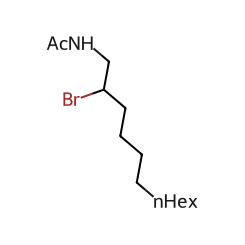 CCCCCCCCCCC(Br)CNC(C)=O